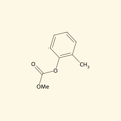 COC(=O)Oc1[c]cccc1C